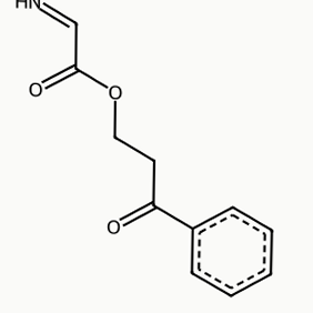 N=CC(=O)OCCC(=O)c1ccccc1